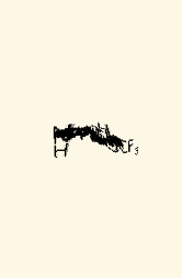 Cc1nc[nH]c1CN1CCC2(CC1)CCN(C(=O)c1ccc3c(c1)C(NC(=O)c1cc(C(F)(F)F)ccc1Cl)CC3)C2